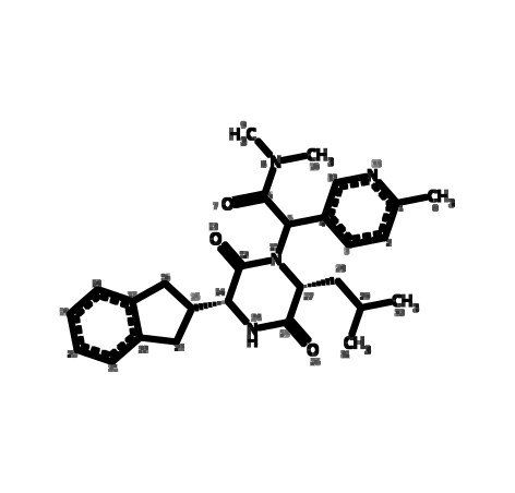 Cc1ccc(C(C(=O)N(C)C)N2C(=O)[C@@H](C3Cc4ccccc4C3)NC(=O)[C@H]2CC(C)C)cn1